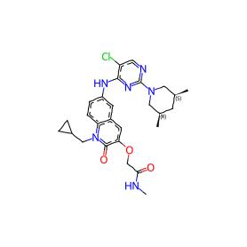 CNC(=O)COc1cc2cc(Nc3nc(N4C[C@H](C)C[C@H](C)C4)ncc3Cl)ccc2n(CC2CC2)c1=O